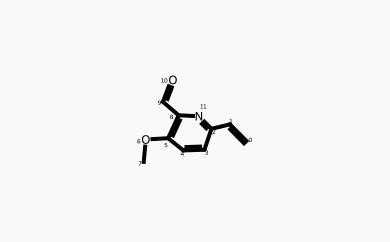 C=Cc1ccc(OC)c(C=O)n1